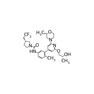 Cc1ccc(NC(=O)N2CC[C@@H](CC(F)(F)F)C2)cc1-c1cc(OC[C@@H](C)O)nc(N2CCO[C@H](C)C2)c1